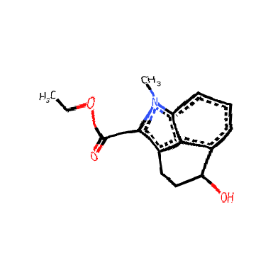 CCOC(=O)c1c2c3c(cccc3n1C)C(O)CC2